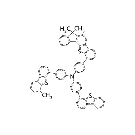 CC1CC=Cc2c1sc1c(-c3ccc(N(c4ccc(-c5cccc6c5sc5ccccc56)cc4)c4ccc(-c5cccc6c5sc5c7c(ccc56)C(C)(C)c5ccccc5-7)cc4)cc3)cccc21